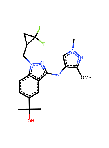 COc1nn(C)cc1Nc1nn(CC2CC2(F)F)c2ccc(C(C)(C)O)cc12